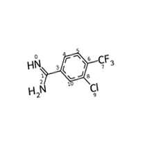 N=C(N)c1ccc(C(F)(F)F)c(Cl)c1